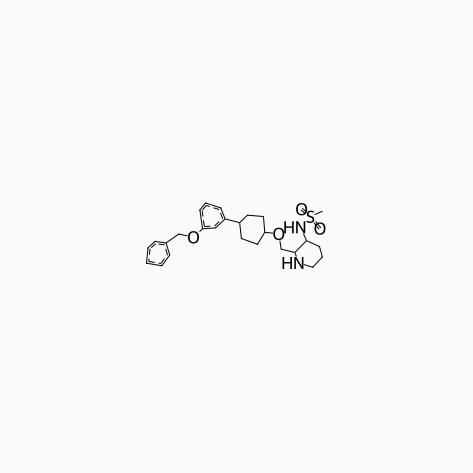 CS(=O)(=O)NC1CCCNC1COC1CCC(c2cccc(OCc3ccccc3)c2)CC1